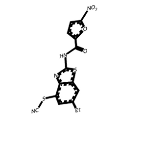 CCc1cc(SC#N)c2nc(NC(=O)c3ccc([N+](=O)[O-])o3)sc2c1